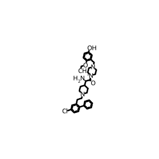 CCOc1ccc(O)cc1CN1CCN(C(=O)[C@H](N)C2CCN(CCc3cc(Cl)ccc3-c3ccccc3)CC2)CC1